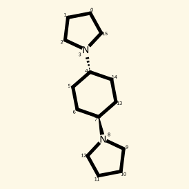 C1CCN([C@H]2CC[C@H](N3CCCC3)CC2)C1